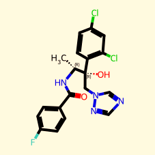 C[C@@H](NC(=O)c1ccc(F)cc1)[C@](O)(Cn1cncn1)c1ccc(Cl)cc1Cl